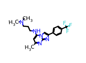 Cc1cc(NCCCN(C)C)n2cc(-c3ccc(C(F)(F)F)cc3)nc2n1